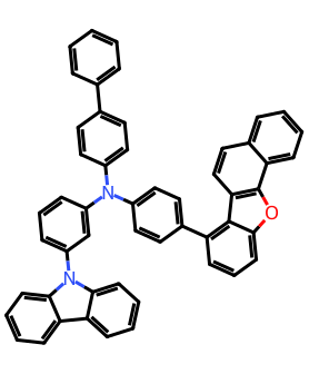 c1ccc(-c2ccc(N(c3ccc(-c4cccc5oc6c7ccccc7ccc6c45)cc3)c3cccc(-n4c5ccccc5c5ccccc54)c3)cc2)cc1